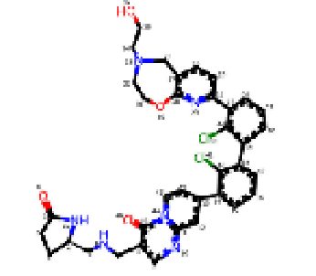 O=C1CC[C@H](CNCc2cnc3cc(-c4cccc(-c5cccc(-c6ccc7c(n6)OCCN(CCO)C7)c5Cl)c4Cl)ccn3c2=O)N1